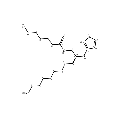 CCCCCCCCCCCCCCCCOC[C@@H](COC(=O)CCCCCBr)Oc1ccon1